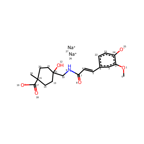 COc1cc(C=CC(=O)NCC2(O)CCC(C)(C(=O)[O-])CC2)ccc1[O-].[Na+].[Na+]